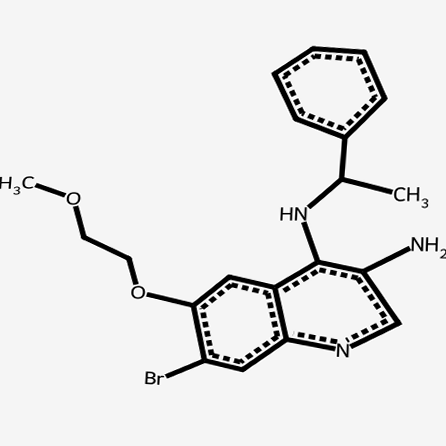 COCCOc1cc2c(NC(C)c3ccccc3)c(N)cnc2cc1Br